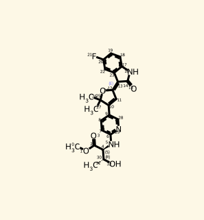 COC(=O)[C@@H](Nc1ccc(C2=C/C(=C3\C(=O)Nc4ccc(F)cc43)OC2(C)C)cn1)[C@@H](C)O